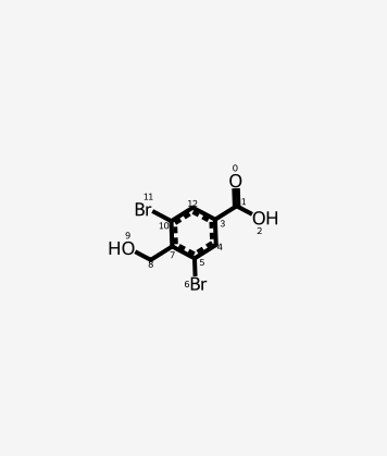 O=C(O)c1cc(Br)c(CO)c(Br)c1